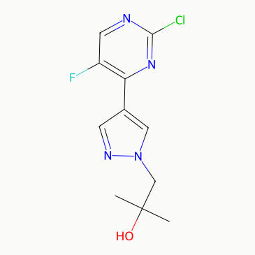 CC(C)(O)Cn1cc(-c2nc(Cl)ncc2F)cn1